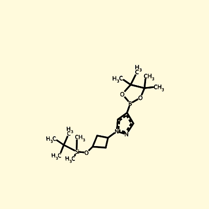 CC1(C)OB(c2cnn(C3CC(O[Si](C)(C)C(C)(C)C)C3)c2)OC1(C)C